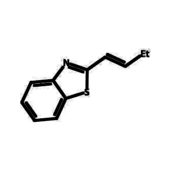 [CH2]C/C=C/c1nc2ccccc2s1